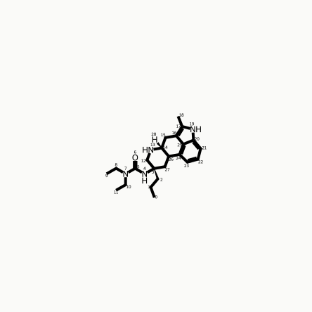 CCC[C@@]1(NC(=O)N(CC)CC)CN[C@@H]2Cc3c(C)[nH]c4cccc(c34)C2C1